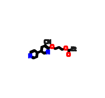 CCC(=O)OCCCOc1ncc(-c2ccncc2)cc1C#N